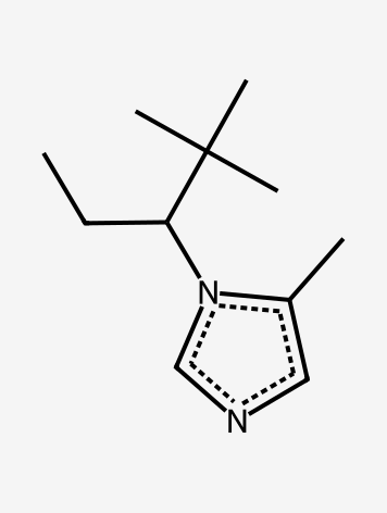 CCC(n1cncc1C)C(C)(C)C